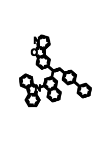 C(=C(/c1cc(-n2c3ccccc3c3ccccc32)c2ccccc2c1)c1ccc2oc3ncccc3c2c1)/c1ccc(-c2ccccc2)cc1